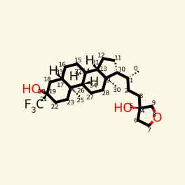 C[C@H](CC[C@@]1(O)CCOC1)[C@H]1CC[C@H]2[C@@H]3CC[C@H]4C[C@](O)(C(F)(F)F)CC[C@]4(C)[C@H]3CC[C@]12C